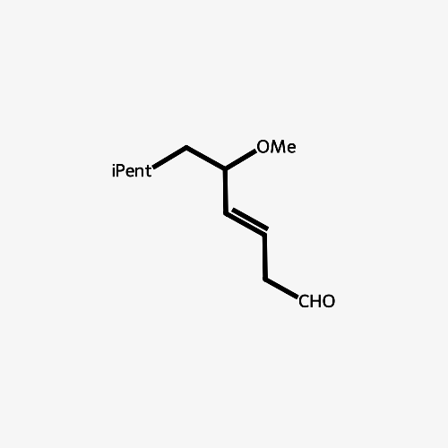 CCCC(C)CC(C=CCC=O)OC